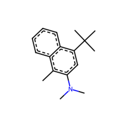 Cc1c(N(C)C)cc(C(C)(C)C)c2ccccc12